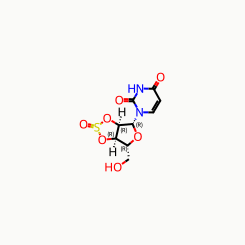 O=c1ccn([C@@H]2O[C@H](CO)[C@H]3OS(=O)O[C@H]32)c(=O)[nH]1